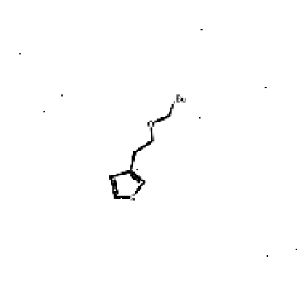 CC[C@H](C)COCCc1ccsc1